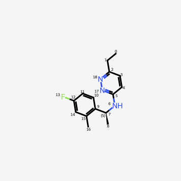 CCc1ccc(N[C@@H](C)c2ccc(F)cc2C)nn1